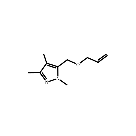 C=CCOCc1c(I)c(C)nn1C